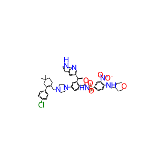 C=C(c1cnc2[nH]ccc2c1)c1cc(N2CCN(CC3=C(c4ccc(Cl)cc4)CC(C)(C)CC3)CC2)ccc1C(=O)NS(=O)(=O)c1ccc(NCC2CCOCC2)c([N+](=O)[O-])c1